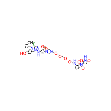 Cc1ccc(CO)cc1N(Cc1ccccc1C#N)c1nc(Nc2ccc(N3CCN(CCOCCOCCOCCOCCNc4cccc5c4C(=O)N(C4CCC(=O)NC4=O)C5=O)CC3)c(S(C)(=O)=O)c2)ncc1F